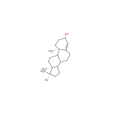 CC(=O)[C@@]1(C)CCC2C3CCC4=CC(O)CC[C@]4(C)C3CC[C@@]21C